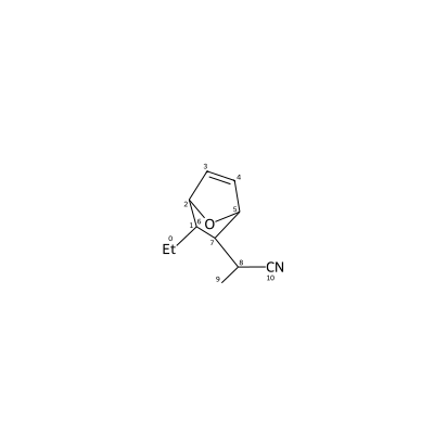 CCC1C2C=CC(O2)C1C(C)C#N